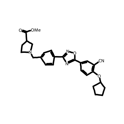 COC(=O)C1CCN(Cc2ccc(-c3noc(-c4ccc(OC5CCCC5)c(C#N)c4)n3)cc2)C1